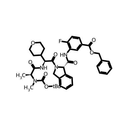 C[C@@H](C(=O)N[C@H](C(=O)N1Cc2ccccc2[C@H]1C(=O)Nc1cc(C(=O)OCc2ccccc2)ccc1F)C1CCOCC1)N(C)C(=O)OC(C)(C)C